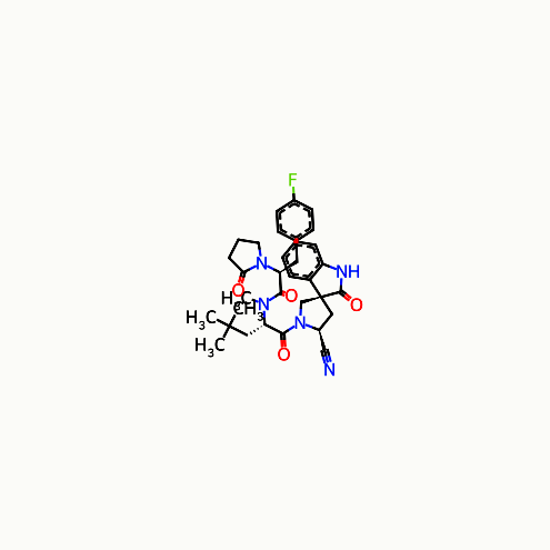 CN(C(=O)[C@H](Cc1ccc(F)cc1)N1CCCC1=O)[C@@H](CC(C)(C)C)C(=O)N1C[C@]2(C[C@H]1C#N)C(=O)Nc1ccccc12